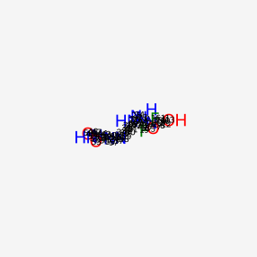 Cc1c(NC(=O)c2ccc(C(C)(C)O)cc2F)cc(F)cc1-c1ncnc2[nH]c(-c3ccc(C4CCN(CC5CCN(c6ccc(N7CCC(=O)NC7=O)cc6)CC5)CC4)cc3)cc12